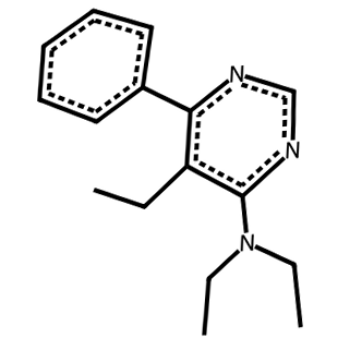 CCc1c(-c2ccccc2)ncnc1N(CC)CC